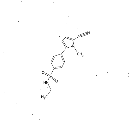 CCNS(=O)(=O)c1ccc(-c2ccc(C#N)n2C)cc1